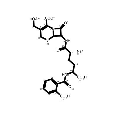 CC(=O)OCC1=C(C(=O)[O-])N2C(=O)C(NC(=O)CCCC(NC(=O)c3ccccc3C(=O)O)C(=O)O)C2SC1.[Na+]